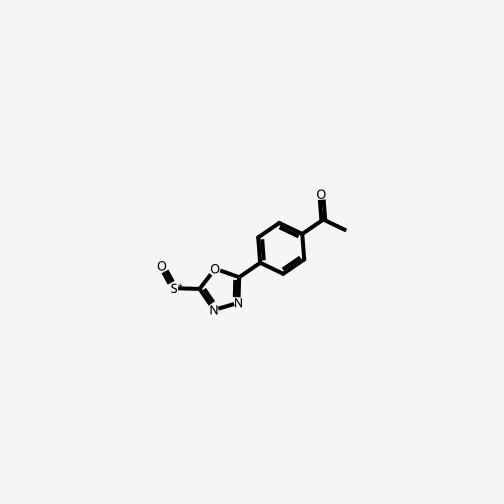 CC(=O)c1ccc(-c2nnc([S+]=O)o2)cc1